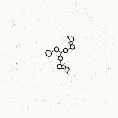 C#Cc1oc2c(-c3ccc(N(c4ccc(-c5cccc6c7c(oc56)C=CC(C)C7)cc4)c4cccc(C5=CCC=CC=C5)c4)cc3)cccc2c1/C=C\C